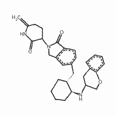 C=C1CCC(N2Cc3cc(C[C@H]4CCCC[C@@H]4NC4COc5ccccc5C4)ccc3C2=O)C(=O)N1